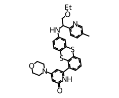 CCOCC(Nc1ccc2c(c1)Sc1cccc(-c3cc(N4CCOCC4)cc(=O)[nH]3)c1S2)c1ccc(C)cn1